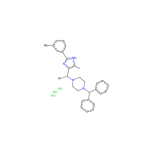 Cc1[nH]c(-c2cccc(C(C)(C)C)c2)nc1C(C(C)C)N1CCN(C(c2ccccc2)c2ccccc2)CC1.Cl.Cl.Cl